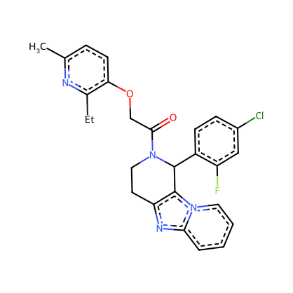 CCc1nc(C)ccc1OCC(=O)N1CCc2nc3ccccn3c2C1c1ccc(Cl)cc1F